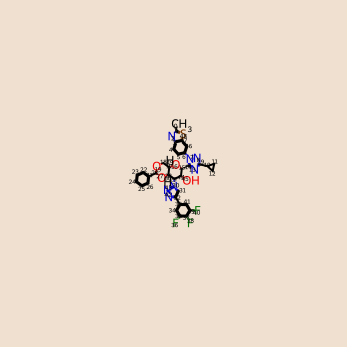 Cc1nc2ccc(-n3nc(C4CC4)nc3[C@@H]3O[C@@H]4COC(c5ccccc5)O[C@@H]4[C@H](n4cc(-c5cc(F)c(F)c(F)c5)nn4)[C@H]3O)cc2s1